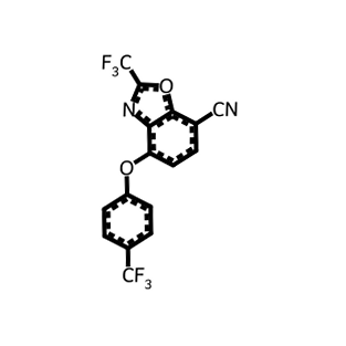 N#Cc1ccc(Oc2ccc(C(F)(F)F)cc2)c2nc(C(F)(F)F)oc12